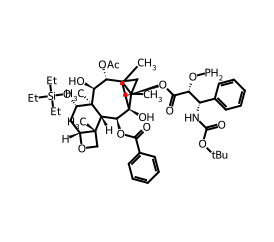 CC[Si](CC)(CC)O[C@H]1C[C@H]2OC[C@@]2(C)[C@H]2[C@H](OC(=O)c3ccccc3)[C@]3(O)C[C@H](OC(=O)[C@H](OP)[C@@H](NC(=O)OC(C)(C)C)c4ccccc4)C(C)C4(CC43C)[C@@H](OC(C)=O)[C@H](O)[C@]12C